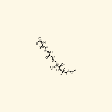 COCCC(C)(C)NC(=O)[C@@H](N)CSCC(=O)NCCC(=O)NC(C)C